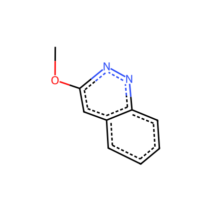 COc1cc2ccccc2nn1